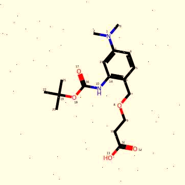 CN(C)c1ccc(COCCC(=O)O)c(NC(=O)OC(C)(C)C)c1